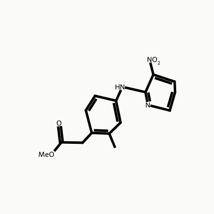 COC(=O)Cc1ccc(Nc2ncccc2[N+](=O)[O-])cc1C